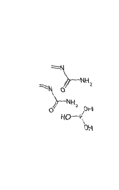 C=NC(N)=O.C=NC(N)=O.OP(O)O